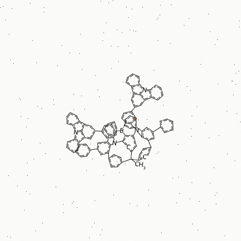 CC12c3ccc(cc3)-c3cc(-c4ccccc4)cc(-c4ccccc4)c3N3c4cc(-c5cc6c7ccccc7n7c8ccccc8c(c5)c67)ccc4B4c5ccc(-c6cc7c8ccccc8n8c9ccccc9c(c6)c78)cc5N(c5cc1cc3c54)c1c(-c3ccccc3)cc(-c3ccccc3)cc1-c1ccc2cc1